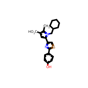 Cc1c(C(=O)O)cc(-c2csc(-c3ccc(O)cc3)n2)n1CC1CCCCC1